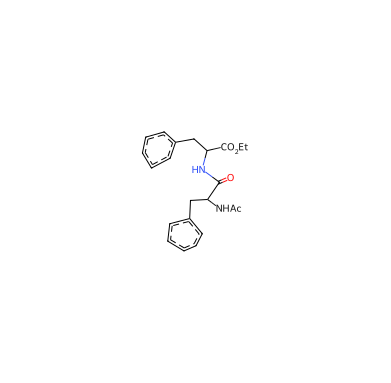 CCOC(=O)C(Cc1ccccc1)NC(=O)C(Cc1ccccc1)NC(C)=O